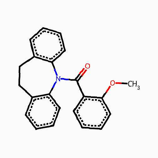 COc1ccccc1C(=O)N1c2ccccc2CCc2ccccc21